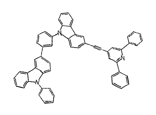 C(#Cc1ccc2c(c1)c1ccccc1n2-c1cccc(-c2ccc3c(c2)c2ccccc2n3-c2ccccc2)c1)c1cc(-c2ccccc2)nc(-c2ccccc2)c1